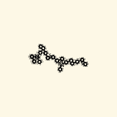 c1ccc(-c2nc(-c3ccc(-c4c(-c5ccc(-c6cccc7c6sc6ccc(-c8ccc(-c9nc(-c%10ccccc%10)nc(-c%10ccc(-c%11cccc%12c(-c%13ccc(-c%14cccc%15c%14sc%14ccccc%14%15)cc%13)cccc%11%12)cc%10)n9)c(-c9ccccc9)c8)cc67)cc5)ccc5ccccc45)cc3)nc(-c3ccccc3-c3ccccc3)n2)cc1